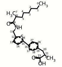 CCCCCCC(C)C(=O)NCc1ccc(-c2ccc(CC(C)C(=O)O)cc2)s1